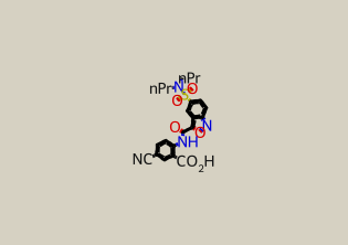 CCCN(CCC)S(=O)(=O)c1ccc2noc(C(=O)Nc3ccc(C#N)cc3C(=O)O)c2c1